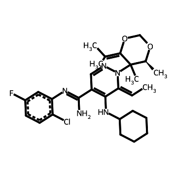 C/C=C1C(NC2CCCCC2)=C(/C(N)=N/c2cc(F)ccc2Cl)C=NN/1C1(C)C(=C(C)C)OCO[C@H]1C